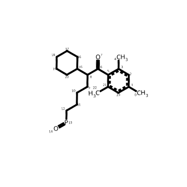 Cc1cc(C)c(C(=O)C(CCCCP=O)C2CCCCC2)c(C)c1